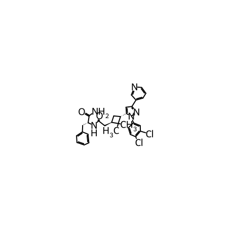 CC1(C)[C@@H](CC(=O)N[C@H](Cc2ccccc2)C(N)=O)C[C@@H]1c1cc(-c2cccnc2)nn1-c1ccc(Cl)c(Cl)c1